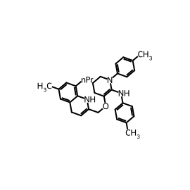 CCCc1cc(C)cc2c1NC(COC1=C(Nc3ccc(C)cc3)N(c3ccc(C)cc3)CCC1)=CC2